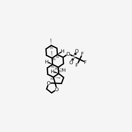 C[C@H]1CC[C@@]2(C)[C@H](C1)C(OS(=O)(=O)C(F)(F)F)C[C@@H]1[C@@H]2CC[C@@]2(C)[C@H]1CCC21OCCO1